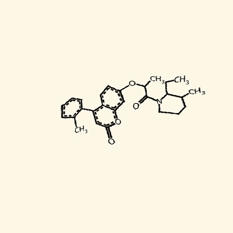 CCC1C(C)CCCN1C(=O)C(C)Oc1ccc2c(-c3ccccc3C)cc(=O)oc2c1